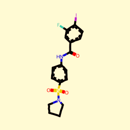 O=C(Nc1ccc(S(=O)(=O)N2CCCC2)cc1)c1ccc(I)c(F)c1